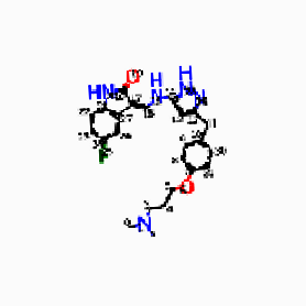 CN(C)CCCOc1ccc(Cc2cc(NC=C3C(=O)Nc4ccc(F)cc43)[nH]n2)cc1